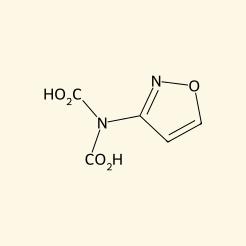 O=C(O)N(C(=O)O)c1ccon1